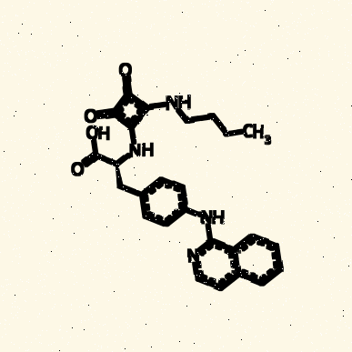 CCCCNc1c(N[C@@H](Cc2ccc(Nc3nccc4ccccc34)cc2)C(=O)O)c(=O)c1=O